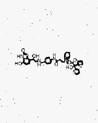 CN(CCC(=O)Nc1ccc(CNC[C@H](O)c2ccc(O)c3[nH]c(=O)sc23)cc1)C1C2CCC1C(OC(=O)C(O)(c1cccs1)c1cccs1)C2